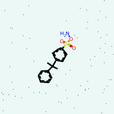 CC(C)(c1ccccc1)c1ccc(S(=O)(=O)ON)cc1